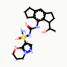 CC(O)C1CCc2cc3c(c(NC(=O)N=S(N)(=O)c4cnn5c4OCCC5)c21)CCC3